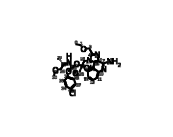 CCOCc1nc2c(N)nc3ccccc3c2n1C[C@](C)(O)OP(=O)(N[C@@H](C)COC)Oc1ccc(Cl)cc1